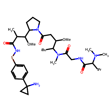 CCC(C)C(C(CC(=O)N1CCCC1C(OC)C(C)C(=O)NSc1ccc(C2(N)CC2)cc1)OC)N(C)C(=O)CNC(=O)C(C(C)C)N(C)C